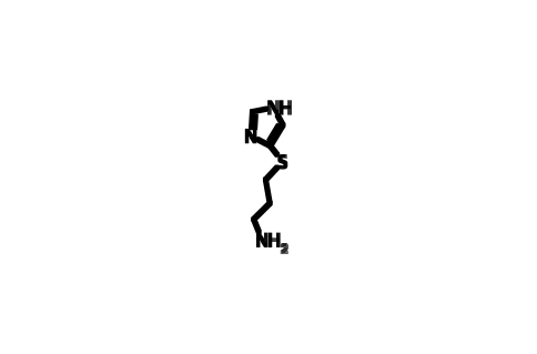 NCCCSc1c[nH]cn1